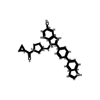 O=C(C1CC1)N1CC[C@@H](Cn2c(-c3ccc(-c4ccc5occc5c4)cc3)nc3cc(Cl)cnc32)C1